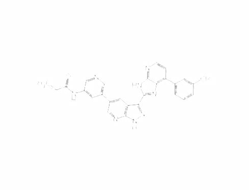 CCC(=O)Nc1cncc(-c2cnc3[nH]nc(-c4nc5c(-c6cccc(C)c6)ccnc5[nH]4)c3c2)c1